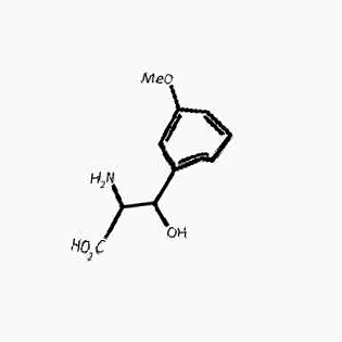 COc1cccc(C(O)C(N)C(=O)O)c1